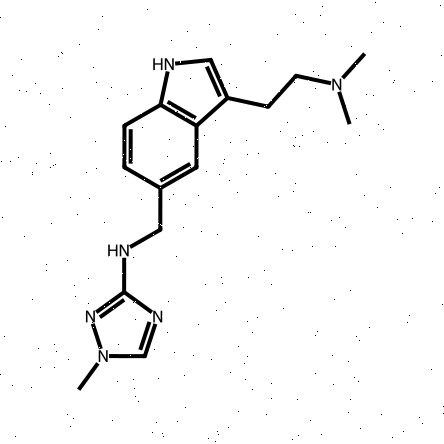 CN(C)CCc1c[nH]c2ccc(CNc3ncn(C)n3)cc12